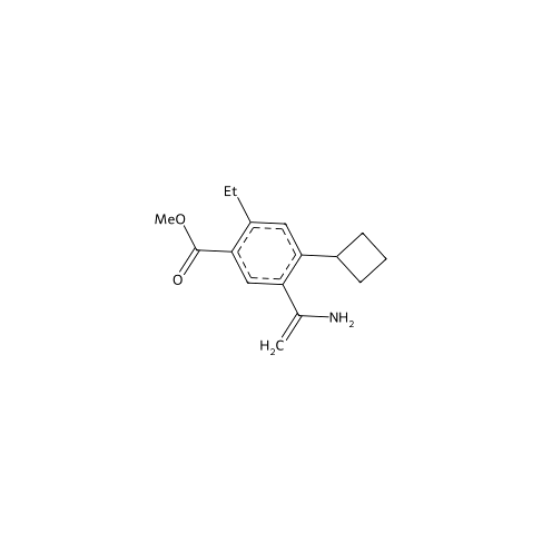 C=C(N)c1cc(C(=O)OC)c(CC)cc1C1CCC1